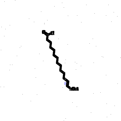 CCCCCCCC/C=C/CCCCCCCCCCCC(=O)Cl